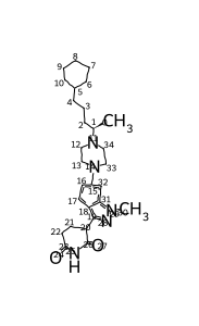 C[C@H](CCCC1CCCCC1)N1CCN(c2ccc3c(C4CCC(=O)NC4=O)nn(C)c3c2)CC1